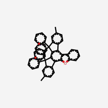 Cc1ccc2c(c1)C(c1ccccc1)(c1ccccc1)c1c3c(c4c(oc5ccccc54)c1-2)-c1ccc(C)cc1C3(c1ccccc1)c1ccccc1